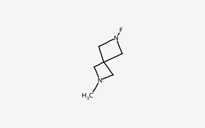 CN1CC2(C1)CN(F)C2